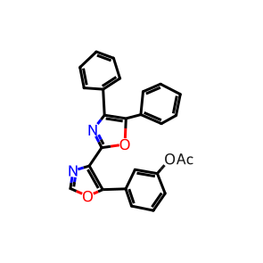 CC(=O)Oc1cccc(-c2ocnc2-c2nc(-c3ccccc3)c(-c3ccccc3)o2)c1